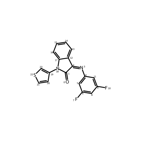 O=C1C(=Nc2cc(F)cc(F)c2)c2ccccc2N1c1ccsc1